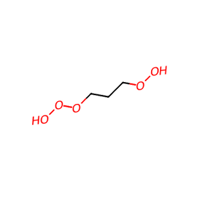 OOCCCOOO